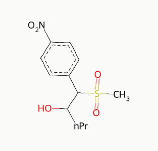 CCCC(O)C(c1ccc([N+](=O)[O-])cc1)S(C)(=O)=O